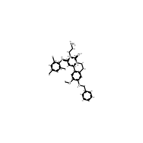 COc1cc2c(cc1OCc1ccccc1)CCn1c-2c/c(=N\c2c(C)cc(C)cc2C)n(CCN)c1=O